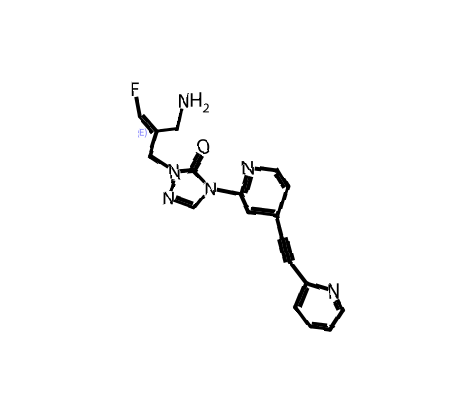 NC/C(=C\F)Cn1ncn(-c2cc(C#Cc3ccccn3)ccn2)c1=O